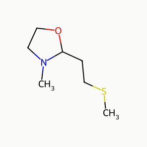 CSCCC1OCCN1C